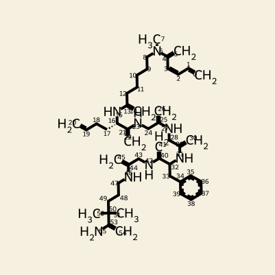 C=C/C=C\C(=C)N(C)CCCCCC(=C)N[C@@H](CCC=C)C(=C)NCC(=C)NCC(=C)NC(Cc1ccccc1)C(=C)NCC(=C)NCCCC(C)(C)C(=C)N